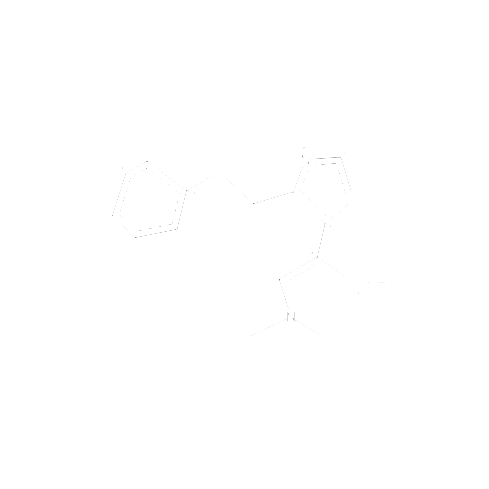 CN(C)C=C(C(=O)O)c1scnc1COc1ccccc1